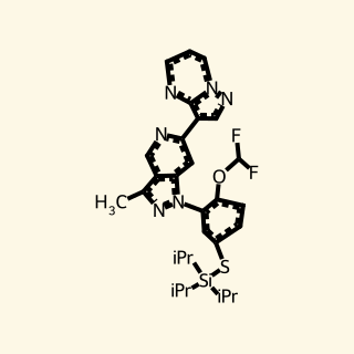 Cc1nn(-c2cc(S[Si](C(C)C)(C(C)C)C(C)C)ccc2OC(F)F)c2cc(-c3cnn4cccnc34)ncc12